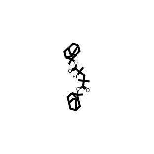 CCC(C)(CC(C)(C)C(=O)OC1(C)C2CC3CC(C2)CC1C3)C(=O)OC1(C)C2CC3CC(C2)CC1C3